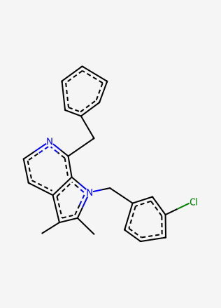 Cc1c(C)n(Cc2cccc(Cl)c2)c2c(Cc3ccccc3)nccc12